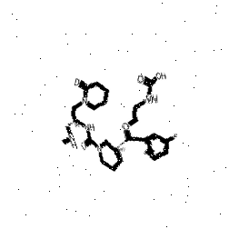 CNC[C@H](CN1CCCCC1=O)NC(=O)N1CCC[C@@H](C(OCCNC(=O)O)c2cccc(F)c2)C1